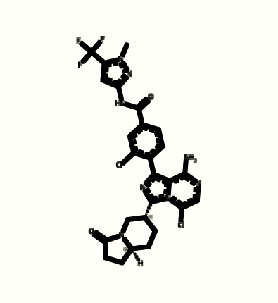 Cn1nc(NC(=O)c2ccc(-c3nc([C@@H]4CC[C@H]5CCC(=O)N5C4)n4c(Cl)cnc(N)c34)c(Cl)c2)cc1C(F)(F)F